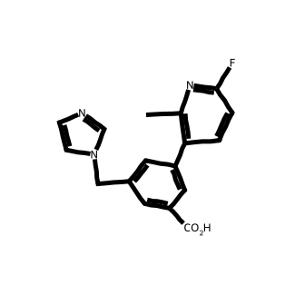 Cc1nc(F)ccc1-c1cc(Cn2ccnc2)cc(C(=O)O)c1